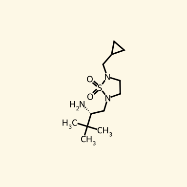 CC(C)(C)[C@H](N)CN1CCN(CC2CC2)S1(=O)=O